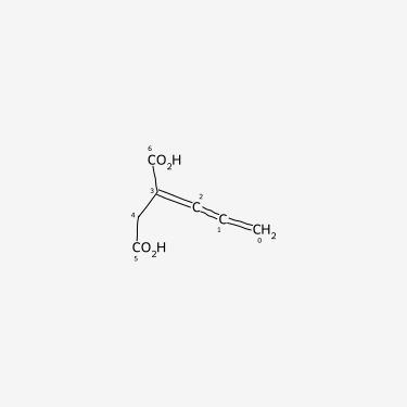 C=C=C=C(CC(=O)O)C(=O)O